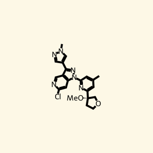 CO[C@@]1(c2cc(C)cc(-n3nc(-c4cnn(C)c4)c4cnc(Cl)cc43)n2)CCOC1